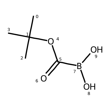 CC(C)(C)OC(=O)B(O)O